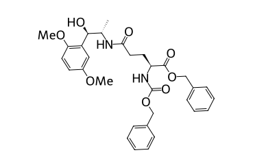 COc1ccc(OC)c([C@@H](O)[C@H](C)NC(=O)CC[C@H](NC(=O)OCc2ccccc2)C(=O)OCc2ccccc2)c1